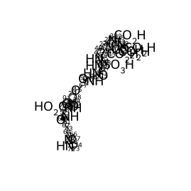 Cc1cc(OCCCC(=O)NCCNC(=O)[C@H](CS(=O)(=O)O)NC(=S)Nc2ccc(C[C@@H](CN(CC(=O)O)CC(C)N(CC(=O)O)CC(=O)O)N(CC(=O)O)CC(=O)O)cc2)cc(C)c1S(=O)(=O)N[C@H](CNC(=O)CCCCc1ccc2c(n1)NCCC2)C(=O)O